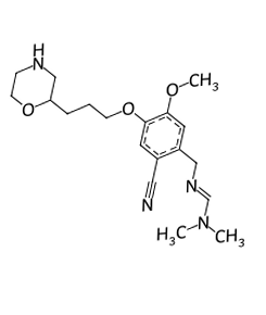 COc1cc(CN=CN(C)C)c(C#N)cc1OCCCC1CNCCO1